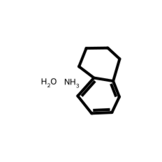 N.O.c1ccc2c(c1)CCCC2